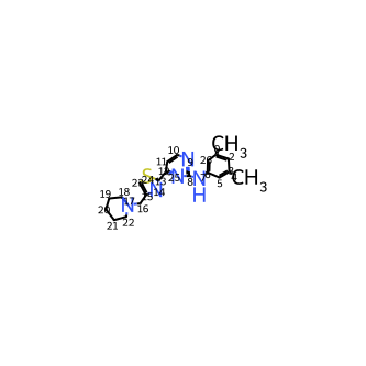 Cc1cc(C)cc(Nc2nccc(-c3nc(CN4CCCCC4)cs3)n2)c1